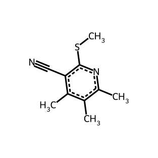 CSc1nc(C)c(C)c(C)c1C#N